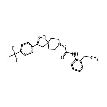 CCc1ccccc1NC(=O)ON1CCC2(CC1)CC(c1ccc(C(F)(F)F)cc1)=NO2